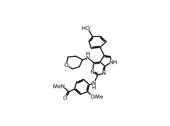 CNC(=O)c1ccc(Nc2nc(NC3CCOCC3)c3c(-c4ccc(O)cc4)c[nH]c3n2)c(OC)c1